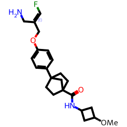 COC1CC(NC(=O)C23CCC(c4ccc(OC/C(=C/F)CN)cc4)(CC2)C3)C1